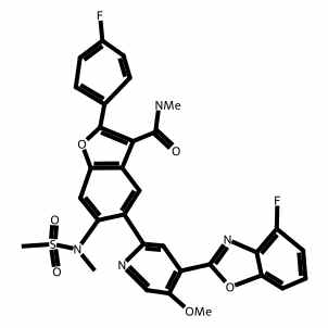 CNC(=O)c1c(-c2ccc(F)cc2)oc2cc(N(C)S(C)(=O)=O)c(-c3cc(-c4nc5c(F)cccc5o4)c(OC)cn3)cc12